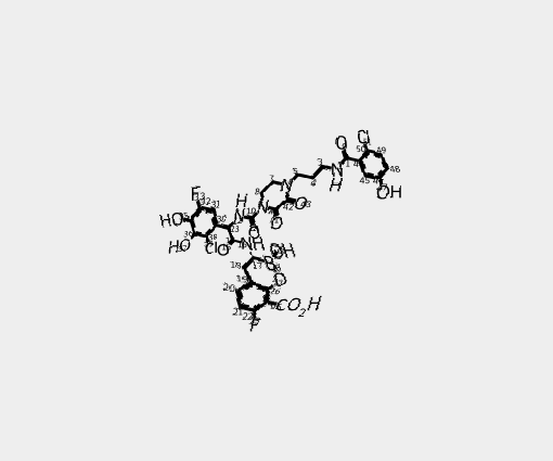 O=C(NCCCN1CCN(C(=O)NC(C(=O)N[C@H]2Cc3ccc(F)c(C(=O)O)c3OB2O)c2cc(F)c(O)c(O)c2Cl)C(=O)C1=O)c1cc(O)ccc1Cl